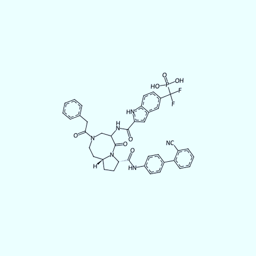 N#Cc1ccccc1-c1ccc(NC(=O)[C@@H]2CC[C@@H]3CCN(C(=O)Cc4ccccc4)CC(NC(=O)c4cc5cc(C(F)(F)P(=O)(O)O)ccc5[nH]4)C(=O)N32)cc1